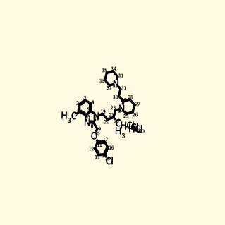 Cc1cccc2c1nc(COc1ccc(Cl)cc1)n2CC[C@H](C)CN1CCCCC1CCN1CCCCC1.Cl.Cl.Cl